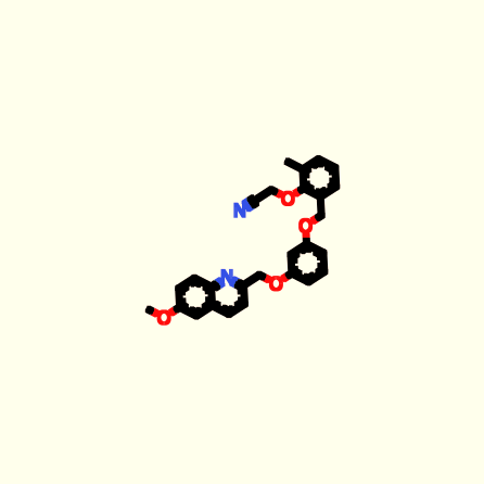 COc1ccc2nc(COc3cccc(OCc4cccc(C)c4OCC#N)c3)ccc2c1